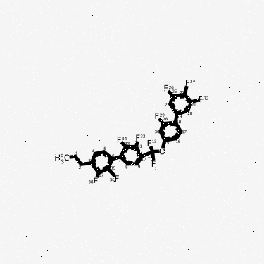 CCCc1ccc(-c2ccc(C(F)(F)Oc3ccc(-c4cc(F)c(F)c(F)c4)c(F)c3)c(F)c2F)c(F)c1F